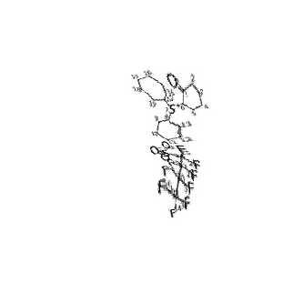 O=C1CCCCC1[S+](C1CCCCC1)C1CCCCC1.O=S(=O)([O-])C(F)(F)C(F)(F)C(F)(F)C(F)(F)F